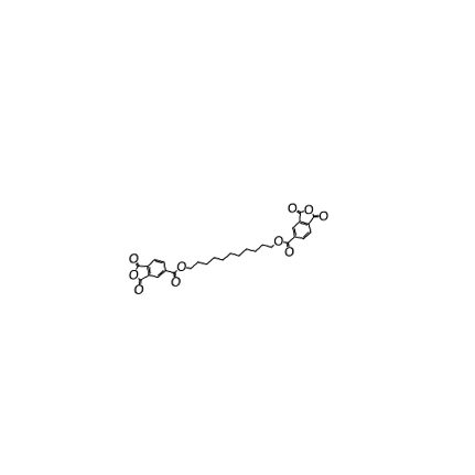 O=C(OCCCCCCCCCCCOC(=O)c1ccc2c(c1)C(=O)OC2=O)c1ccc2c(c1)C(=O)OC2=O